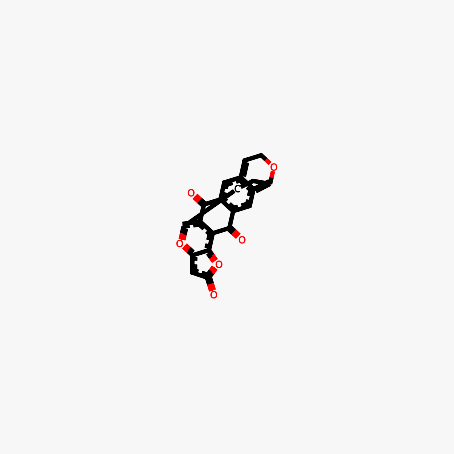 O=C1c2cc3c4cc2C(=O)c2c5oc(=O)cc-5oc(c21)CCC=4OCC=3